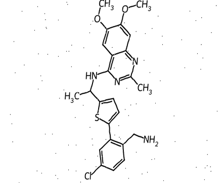 COc1cc2nc(C)nc(NC(C)c3ccc(-c4cc(Cl)ccc4CN)s3)c2cc1OC